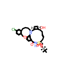 CC(C)(C)[Si](C)(C)OC[C@@H]1C/C=C/C[C@H](O)[C@@H]2CC[C@H]2CN2CCCCc3cc(Cl)ccc3COc3ccc(cc32)C(=O)NS1(=O)=O